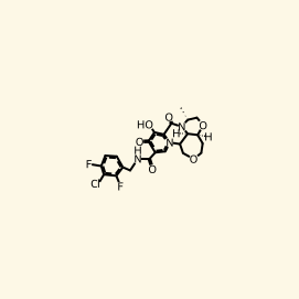 C[C@@H]1CO[C@H]2CCOCC3[C@H]2N1C(=O)c1c(O)c(=O)c(C(=O)NCc2ccc(F)c(Cl)c2F)cn13